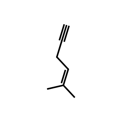 C#CCC=C(C)C